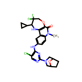 Cn1c(=O)c2c(c3cc(Nc4nc(N5CC6CCC(C5)O6)ncc4Cl)ccc31)NC(C1CC1)C(F)(F)CO2